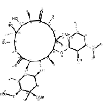 CCCCO[C@H]1[C@H](C)O[C@@H](O[C@H]2[C@H](C)[C@@H](O[C@@H]3O[C@H](C)C[C@H](N(C)C)[C@H]3O)[C@](C)(OC)C[C@@H](C)C(=O)[C@H](C)[C@@H](O)[C@](C)(O)[C@@H](CC)OC(=O)[C@@H]2C)C[C@@]1(C)OC